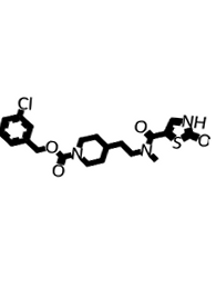 CN(CCC1CCN(C(=O)OCc2cc(Cl)cc(Cl)c2)CC1)C(=O)c1c[nH]c(=O)s1